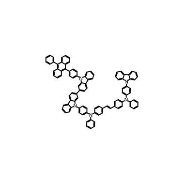 C(=C\c1ccc(N(c2ccccc2)c2ccc(-n3c4ccccc4c4ccc(-c5ccc6c7ccccc7n(-c7ccc(-c8c9ccccc9c(-c9ccccc9)c9ccccc89)cc7)c6c5)cc43)cc2)cc1)/c1ccc(N(c2ccccc2)c2ccc(-n3c4ccccc4c4ccccc43)cc2)cc1